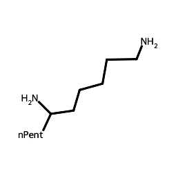 CCCCCC(N)CCCCCN